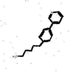 CCCCCCc1ccc(-c2cccnc2)cc1